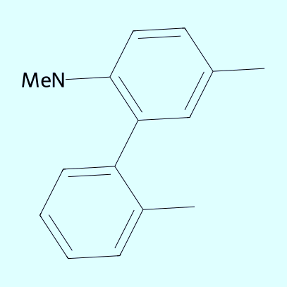 CNc1ccc(C)cc1-c1ccccc1C